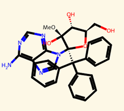 CO[C@@]1(O)[C@H](O)[C@@H](CO)O[C@]1(n1cnc2c(N)ncnc21)C(c1ccccc1)(c1ccccc1)c1ccccc1